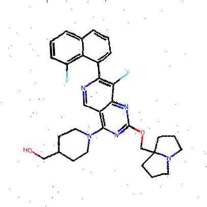 OCC1CCN(c2nc(OCC34CCCN3CCC4)nc3c(F)c(-c4cccc5cccc(F)c45)ncc23)CC1